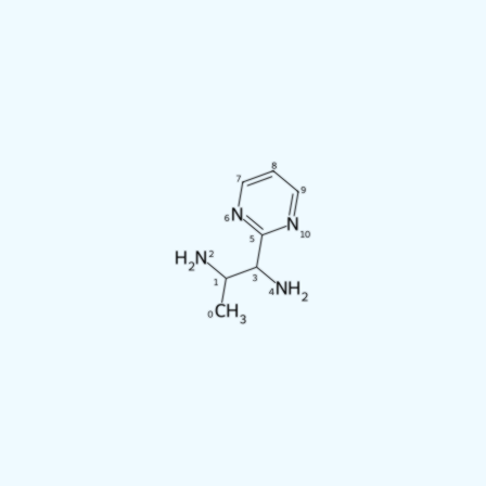 CC(N)C(N)c1ncccn1